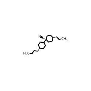 CCCC[C@H]1CC=C([C@]2(C#N)CC[C@H](CCC)CC2)CC1